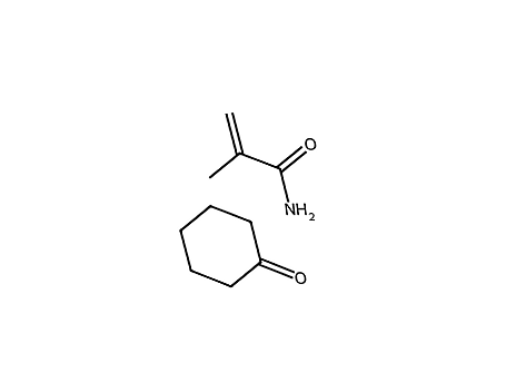 C=C(C)C(N)=O.O=C1CCCCC1